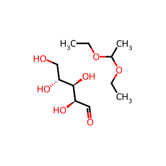 CCOC(C)OCC.O=C[C@@H](O)[C@H](O)[C@H](O)CO